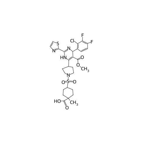 COC(=O)C1=C(C2CCN(S(=O)(=O)C3CCC(C)(C(=O)O)CC3)CC2)NC(c2nccs2)=NC1c1ccc(F)c(F)c1Cl